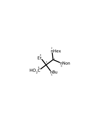 CCCCCCCCCC(CCCCCC)C(CC)(CCCC)C(=O)O